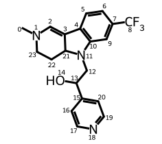 CN1C=C2c3ccc(C(F)(F)F)cc3N(CC(O)c3ccncc3)C2CC1